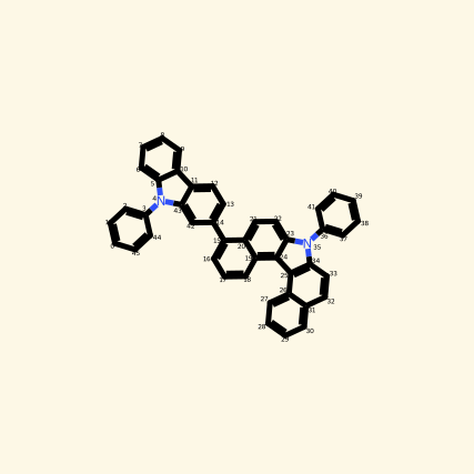 c1ccc(-n2c3ccccc3c3ccc(-c4cccc5c4ccc4c5c5c6ccccc6ccc5n4-c4ccccc4)cc32)cc1